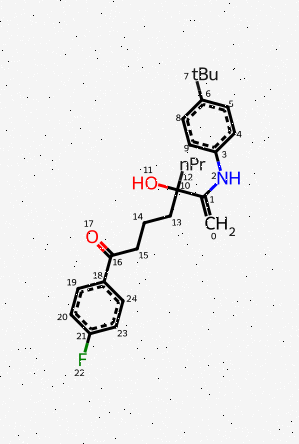 C=C(Nc1ccc(C(C)(C)C)cc1)C(O)(CCC)CCCC(=O)c1ccc(F)cc1